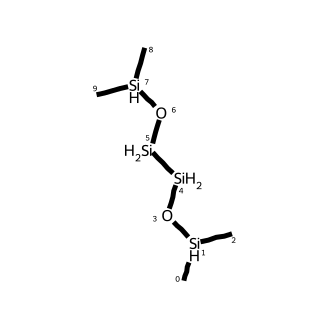 C[SiH](C)O[SiH2][SiH2]O[SiH](C)C